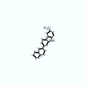 Cc1ccc2[nH]c3cc(-c4ccc5ccccc5c4)ccc3c2c1